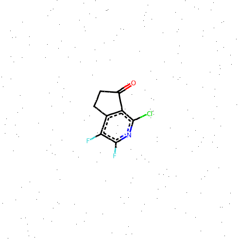 O=C1CCc2c(F)c(F)nc(Cl)c21